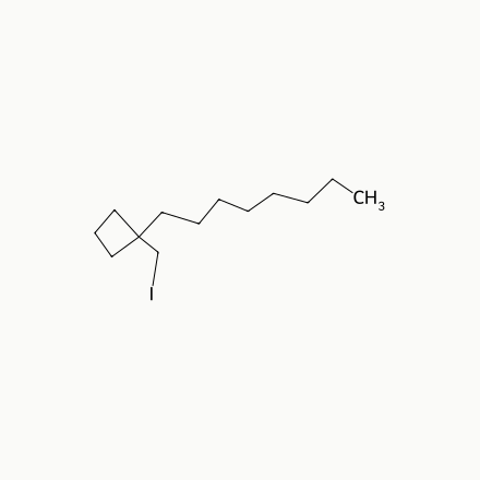 CCCCCCCCC1(CI)CCC1